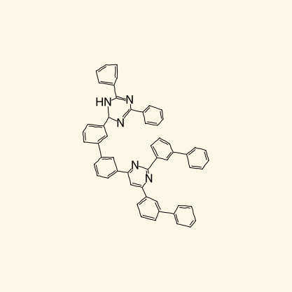 c1ccc(C2=NC(c3cccc(-c4cccc(-c5cc(-c6cccc(-c7ccccc7)c6)nc(-c6cccc(-c7ccccc7)c6)n5)c4)c3)NC(c3ccccc3)=N2)cc1